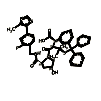 Cc1ncsc1-c1ccc(CNC(=O)[C@H]2C[C@@H](O)CN2C(=O)[C@@H](NC(=O)O)C(C)(C)SC(c2ccccc2)(c2ccccc2)c2ccccc2)c(F)c1